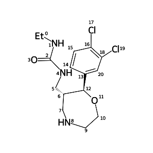 CCNC(=O)NC[C@H]1CNCCO[C@@H]1c1ccc(Cl)c(Cl)c1